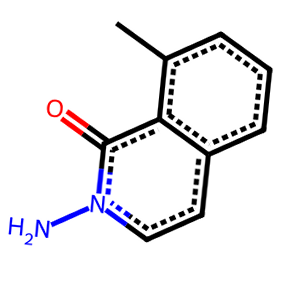 Cc1cccc2ccn(N)c(=O)c12